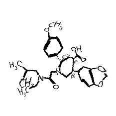 CCN(CC(C)C)C(=O)CN1C[C@H](c2ccc3c(c2)OCO3)[C@H](C(=O)O)[C@H]1c1ccc(OC)cc1